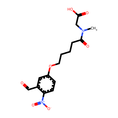 CN(CC(=O)O)C(=O)CCCCOc1ccc([N+](=O)[O-])c(C=O)c1